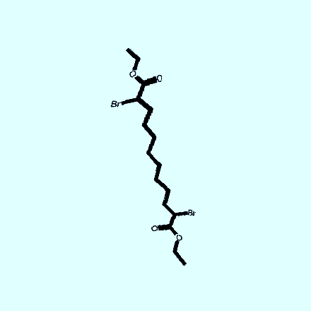 CCOC(=O)C(Br)CCCCCCCCC(Br)C(=O)OCC